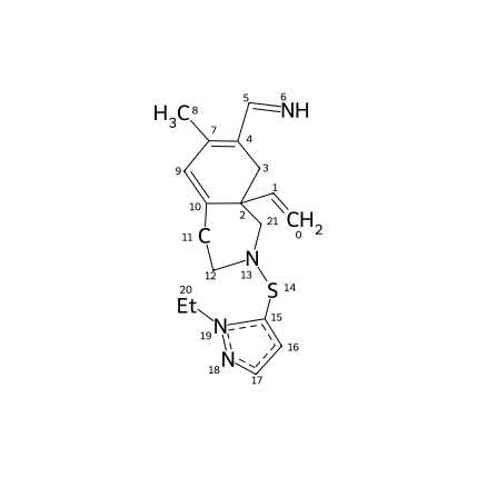 C=CC12CC(C=N)=C(C)C=C1CCN(Sc1ccnn1CC)C2